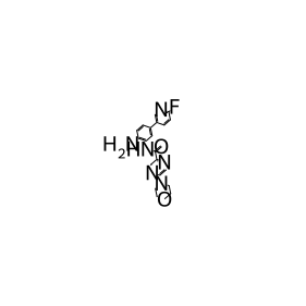 Nc1ccc(-c2ccc(F)nc2)cc1NC(=O)c1cnc(N2CCOCC2)cn1